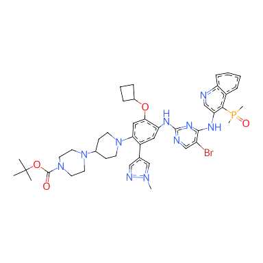 Cn1cc(-c2cc(Nc3ncc(Br)c(Nc4cnc5ccccc5c4P(C)(C)=O)n3)c(OC3CCC3)cc2N2CCC(N3CCN(C(=O)OC(C)(C)C)CC3)CC2)cn1